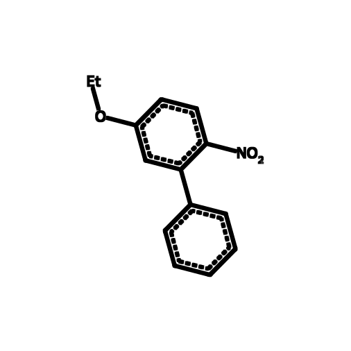 CCOc1ccc([N+](=O)[O-])c(-c2ccccc2)c1